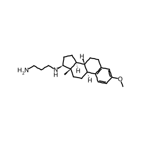 COc1ccc2c(c1)CC[C@@H]1[C@@H]2CC[C@]2(C)[C@@H](NCCCN)CC[C@@H]12